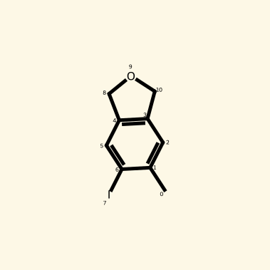 Cc1cc2c(cc1I)COC2